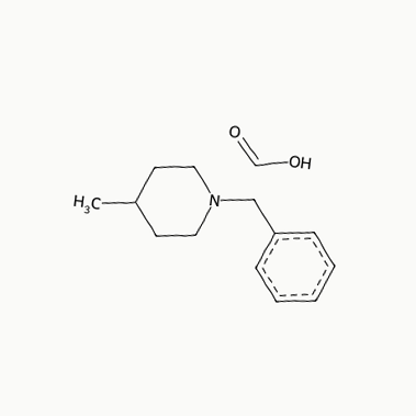 CC1CCN(Cc2ccccc2)CC1.O=CO